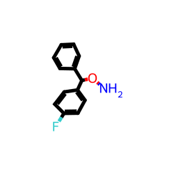 NOC(c1ccccc1)c1ccc(F)cc1